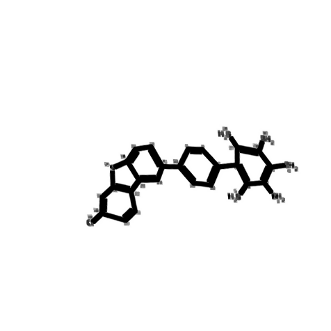 Bc1c(B)c(B)c(-c2ccc(-c3ccc4sc5cc(Cl)ccc5c4c3)cc2)c(B)c1B